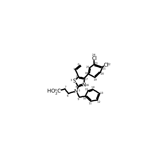 C=Cc1sc(N(CCC(=O)O)Cc2ccccc2)nc1-c1ccc(Cl)c(Cl)c1